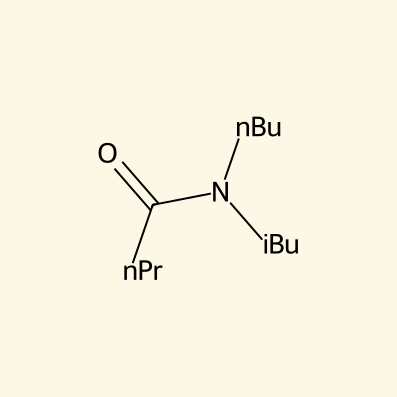 [CH2]CCC(=O)N(CCCC)C(C)CC